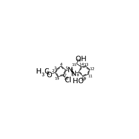 COc1ccc(N=Nc2c(O)cccc2CO)c(Cl)c1